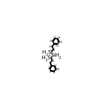 c1ccc(CC[SiH2][SiH2][SiH2]CCc2ccccc2)cc1